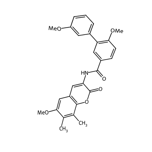 COc1cccc(-c2cc(C(=O)Nc3cc4cc(OC)c(C)c(C)c4oc3=O)ccc2OC)c1